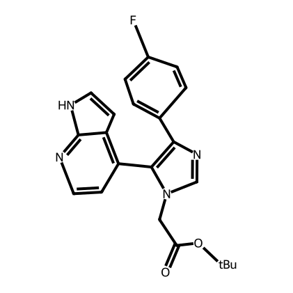 CC(C)(C)OC(=O)Cn1cnc(-c2ccc(F)cc2)c1-c1ccnc2[nH]ccc12